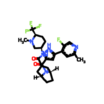 Cc1cc(-c2cc(C(=O)N3[C@@H]4CC[C@H]3CC(C(=O)N[C@H]3CC[C@H](C(F)(F)F)N(C)C3)C4)n[nH]2)c(F)cn1